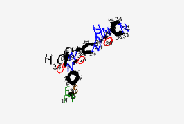 CC1(C)C(=O)N(c2ccc(SC(F)(F)F)cc2)C(=O)N1Cc1ccnc(NC(=O)Nc2ccncc2)c1